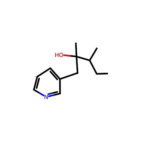 CCC(C)C(C)(O)Cc1c[c]cnc1